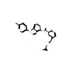 Cc1ccc(-n2ncc3c(NC(=O)c4cc(CNC(=O)C(C)(C)C)ccc4C(F)(F)F)cccc32)cn1.Cl